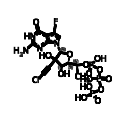 C[C@H](OP(=O)(O)OP(=O)(O)OP(=O)(O)O)[C@H]1O[C@@H](n2cc(F)c3c(=O)[nH]c(N)nc32)C(O)(C#CCl)[C@H]1O